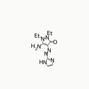 CCn1c(N)c(/N=N/c2ncc[nH]2)c(=O)n1CC